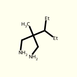 CCC(CC)C(C)(CN)CN